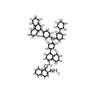 Nc1ccc2ccccc2c1OCc1ccc(-c2ccc(N(c3ccc(-c4cc5ccccc5c5ccccc45)cc3)c3cccc(-c4ccccc4)c3)cc2)c2ccccc12